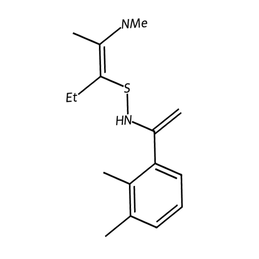 C=C(NS/C(CC)=C(/C)NC)c1cccc(C)c1C